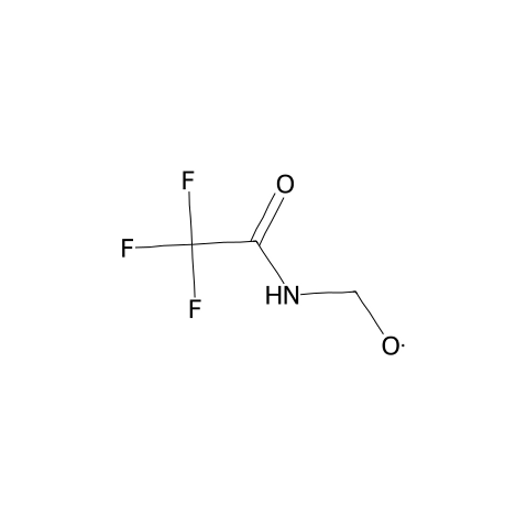 [O]CNC(=O)C(F)(F)F